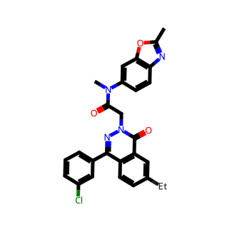 CCc1ccc2c(-c3cccc(Cl)c3)nn(CC(=O)N(C)c3ccc4nc(C)oc4c3)c(=O)c2c1